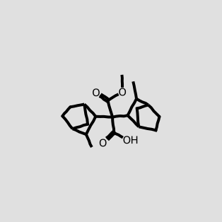 COC(=O)C(C(=O)O)(C1C2CCC(C2)C1C)C1C2CCC(C2)C1C